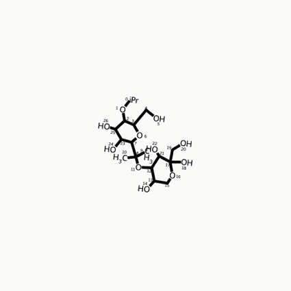 CC(C)OC1C(CO)OC(C(C)(C)OC2C(O)COC(O)(CO)C2O)C(O)C1O